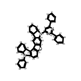 c1ccc(-c2cc(-n3c4ccccc4c4cc5c(cc43)oc3ccc4c(c6ccccc6n4-c4ccccc4)c35)nc(-c3ccccc3)n2)cc1